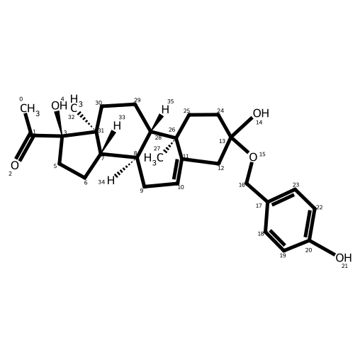 CC(=O)[C@@]1(O)CC[C@H]2[C@@H]3CC=C4CC(O)(OCc5ccc(O)cc5)CC[C@]4(C)[C@H]3CC[C@@]21C